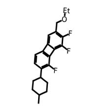 CCOCc1cc2c(c(F)c1F)-c1c-2ccc(C2CCC(C)CC2)c1F